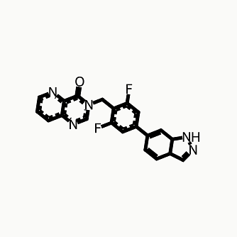 O=c1c2ncccc2ncn1Cc1c(F)cc(C2=CC3NN=CC3C=C2)cc1F